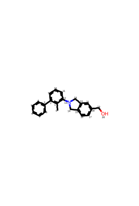 Cc1c(-c2ccccc2)cccc1N1Cc2ccc(CO)cc2C1